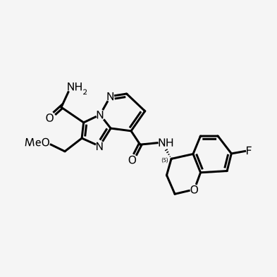 COCc1nc2c(C(=O)N[C@H]3CCOc4cc(F)ccc43)ccnn2c1C(N)=O